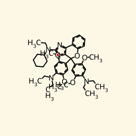 CCN(CC)c1cc(OC)c(C2(c3cc(OC)c(N(CC)CC)cc3OC)Oc3ccccc3-c3nc(N(CC)C4CCCCC4)sc32)cc1OC